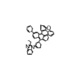 CCc1nc2ccccc2n1-c1cccc(-c2c3ccccc3c(-c3cccc4oc5ccccc5c34)c3cc(-c4ccccc4)ccc23)c1